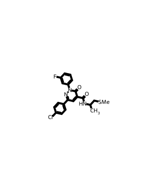 CSCC(C)NC(=O)c1cc(-c2ccc(Cl)cc2)nn(-c2cccc(F)c2)c1=O